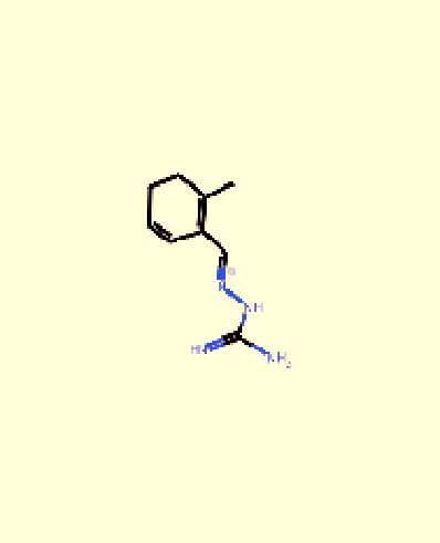 CC1=C(/C=N/NC(=N)N)C=CCC1